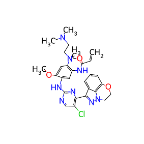 C=CC(=O)Nc1cc(Nc2ncc(Cl)c(-c3nn4c5c(cccc35)OCC4)n2)c(OC)cc1N(C)CCN(C)C